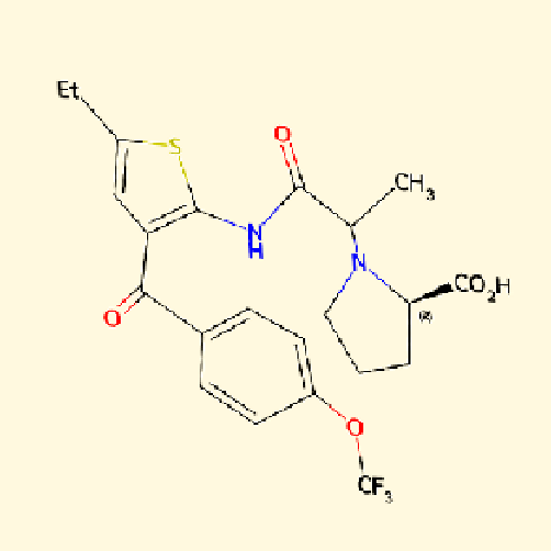 CCc1cc(C(=O)c2ccc(OC(F)(F)F)cc2)c(NC(=O)C(C)N2CCC[C@@H]2C(=O)O)s1